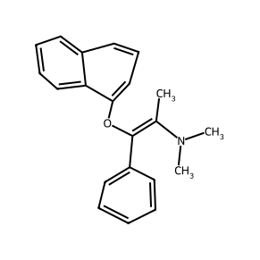 CC(=C(Oc1cccc2ccccc12)c1ccccc1)N(C)C